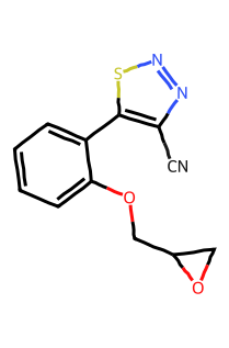 N#Cc1nnsc1-c1ccccc1OCC1CO1